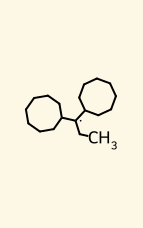 CC[C](C1CCCCCCC1)C1CCCCCCC1